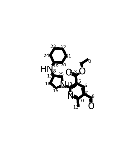 CCOC(=O)c1cc(C=O)c(C)nc1N1CCC(NC2CCCCC2)C1